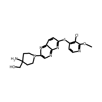 COc1nccc(Sc2ccc3nc(N4CCC(N)(CO)CC4)cnc3n2)c1Cl